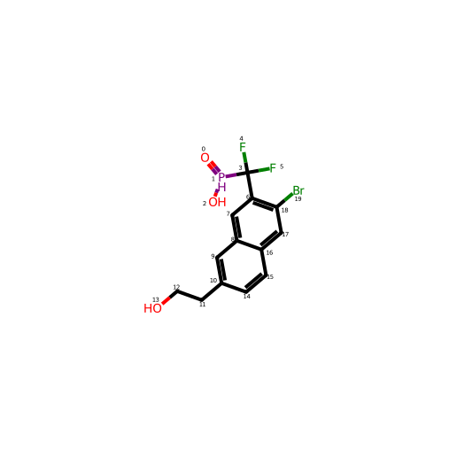 O=[PH](O)C(F)(F)c1cc2cc(CCO)ccc2cc1Br